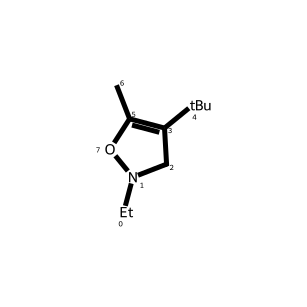 CCN1CC(C(C)(C)C)=C(C)O1